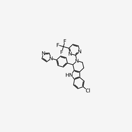 FC(F)(F)c1ccnc(N2CCc3c([nH]c4ccc(Cl)cc34)C2c2ccc(-n3ccnc3)cc2)n1